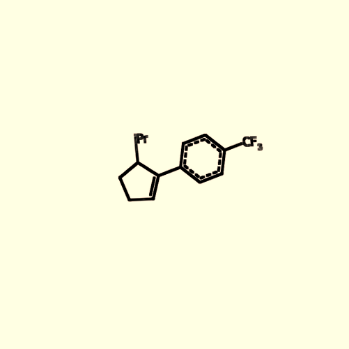 CC(C)C1CCC=C1c1ccc(C(F)(F)F)cc1